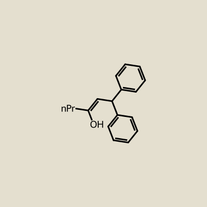 CCCC(O)=CC(c1ccccc1)c1ccccc1